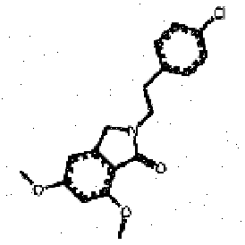 COc1cc2c(c(OC)c1)C(=O)N(CCc1ccc(Cl)cc1)C2